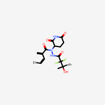 C=C(/C=C\CC)C(=O)N(NC(=O)C(F)(F)C(C)(O)CCC)C1CCC(=O)NC1=O